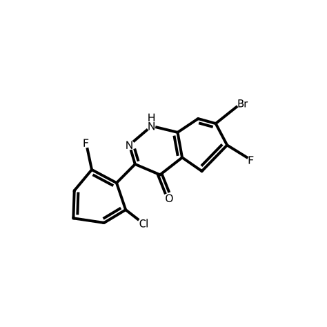 O=c1c(-c2c(F)cccc2Cl)n[nH]c2cc(Br)c(F)cc12